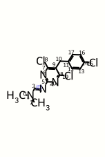 CN(C)/C=N/c1nc(Cl)c(Cc2ccc(Cl)cc2)c(Cl)n1